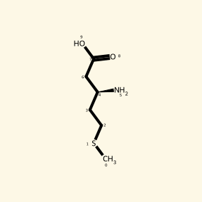 CSCC[C@H](N)CC(=O)O